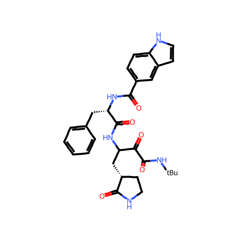 CC(C)(C)NC(=O)C(=O)C(C[C@@H]1CCNC1=O)NC(=O)[C@H](Cc1ccccc1)NC(=O)c1ccc2[nH]ccc2c1